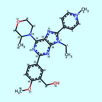 CCn1c(-c2cc[n+](C)cc2)nc2c(N3CCOCC3C)nc(-c3ccc(OC)c(CO)c3)nc21